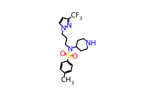 Cc1ccc(S(=O)(=O)N(CCCn2ccc(C(F)(F)F)n2)C2CCNCC2)cc1